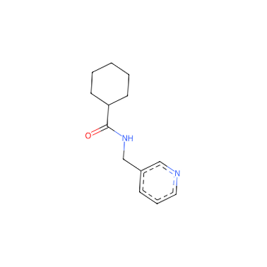 O=C(NCc1cccnc1)C1CCCCC1